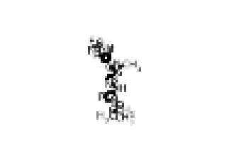 Cc1nc(Oc2cc(F)c(NS(=O)(=O)C(F)F)c(F)c2)c(-c2ccnc(N[C@H]3C[C@H](F)CN(C(=O)OC(C)(C)C)C3)n2)s1